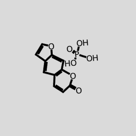 O=P(O)(O)O.O=c1ccc2cc3ccoc3cc2o1